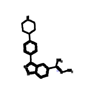 N/N=C(\N)c1ccc2noc(-c3ccc(C4CCNCC4)cc3)c2c1